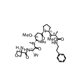 CC[C@H](C)[C@@H]([C@@H](CC(=O)N1CCC[C@H]1[C@H](OC)[C@@H](C)C(=O)NCCc1ccccc1)OC)N(C)C(=O)[C@@H](NC(=O)C1(N)COC1)C(C)C